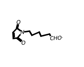 O=[C]CCCCCN1C(=O)C=CC1=O